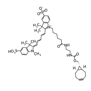 CN1/C(=C/C=C/C=C/C2=[N+](CCCCCC(=O)NCCNC(=O)OC[C@H]3[C@@H]4CCC#CCC[C@@H]43)c3ccc(S(=O)(=O)[O-])cc3C2(C)C)C(C)(C)c2cc(S(=O)(=O)O)ccc21